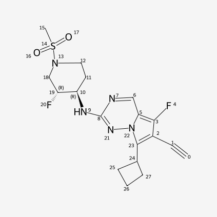 C#Cc1c(F)c2cnc(N[C@@H]3CCN(S(C)(=O)=O)C[C@H]3F)nn2c1C1CCC1